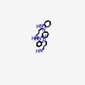 N=CC/C=C\Nc1ccccc1NC1=CC(N2C3=C(C=CC=CC3)N/C2=C/CC=N)=CC=CC1